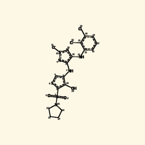 O=S(=O)(c1scc(Nc2n[s+]([O-])nc2Nc2cccc(Cl)c2Cl)c1O)N1CCCC1